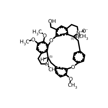 COc1ccc2cc1Oc1ccc(cc1)C[C@H]1c3cc(c(CO)cc3CC[N@@+]1(C)[O-])Oc1c(OC)c(OC)cc3c1[C@H](C2)N(C)CC3